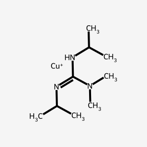 CC(C)N=C(NC(C)C)N(C)C.[Cu+]